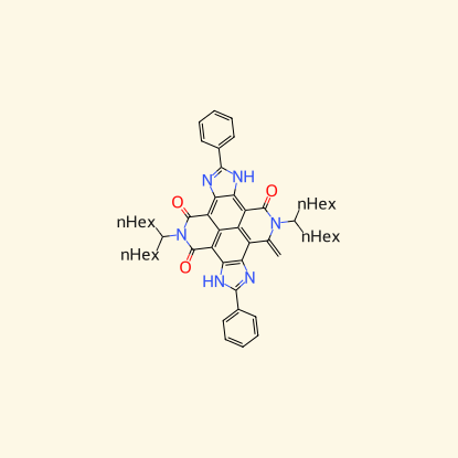 C=c1c2c3nc(-c4ccccc4)[nH]c3c3c4c(c5nc(-c6ccccc6)[nH]c5c(c(=O)n1C(CCCCCC)CCCCCC)c42)C(=O)N(C(CCCCCC)CCCCCC)C3=O